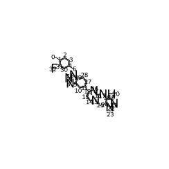 Cc1ccc(Cn2nnc3cc(-c4ccnc(Nc5c(C)nn(C)c5C)n4)ccc32)cc1F